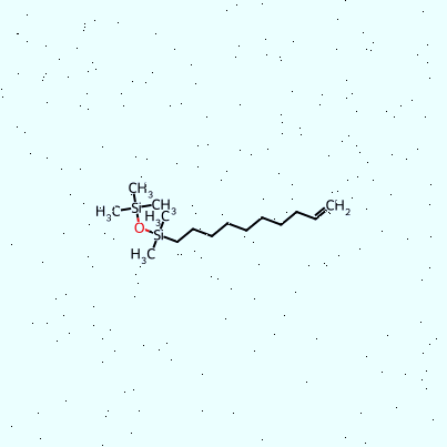 C=CCCCCCCCC[Si](C)(C)O[Si](C)(C)C